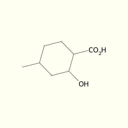 CC1CCC(C(=O)O)C(O)C1